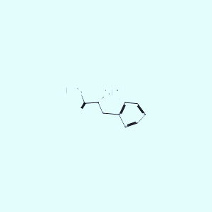 NC(=O)[C@@H](N)Cc1ccccc1.[B]